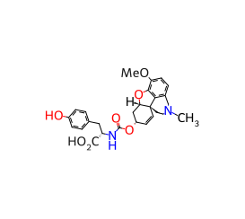 COc1ccc2c3c1O[C@H]1C[C@@H](OC(=O)N[C@@H](Cc4ccc(O)cc4)C(=O)O)C=C[C@@]31CCN(C)C2